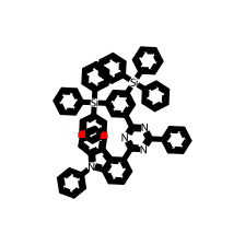 c1ccc(-c2nc(-c3cc([Si](c4ccccc4)(c4ccccc4)c4ccccc4)cc([Si](c4ccccc4)(c4ccccc4)c4ccccc4)c3)nc(-c3cccc4c3c3ccccc3n4-c3ccccc3)n2)cc1